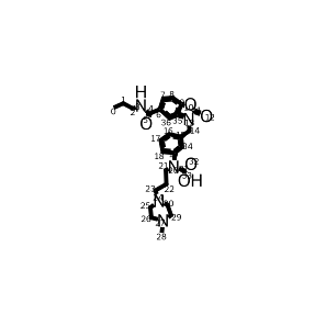 CCCNC(=O)c1ccc2oc(=O)n(Cc3cccc(N(CCCN4CCN(C)CC4)C(=O)O)c3)c2c1